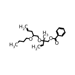 C=CCC(COC(C)(C=C)COC(=O)c1ccccc1)OCCCC